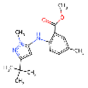 COC(=O)c1cc(C)ccc1Nc1cc(C(C)(C)C)nn1C